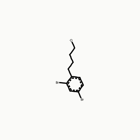 [O]CCCCc1ccc(Br)cc1Br